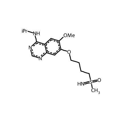 COc1cc2c(NC(C)C)ncnc2cc1OCCCCS(C)(=N)=O